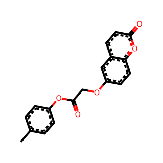 Cc1ccc(OC(=O)COc2ccc3oc(=O)ccc3c2)cc1